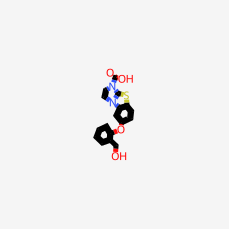 O=C(O)N1C=CN2c3cc(Oc4ccccc4CO)ccc3SC12